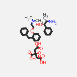 CN(C)CCOc1ccccc1Cc1ccccc1.C[C@@H](N)[C@@H](O)c1ccccc1.O=C(O)CC(O)(CC(=O)O)C(=O)O